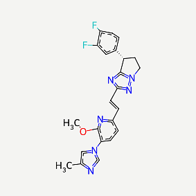 COc1nc(/C=C/c2nc3n(n2)CC[C@H]3c2ccc(F)c(F)c2)ccc1-n1cnc(C)c1